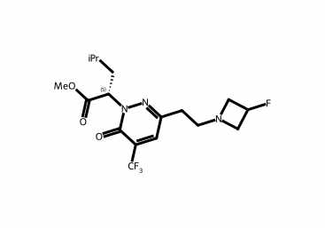 COC(=O)[C@H](CC(C)C)n1nc(CCN2CC(F)C2)cc(C(F)(F)F)c1=O